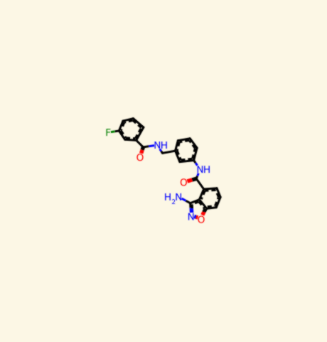 Nc1noc2cccc(C(=O)Nc3cccc(CNC(=O)c4cccc(F)c4)c3)c12